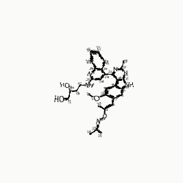 COc1cc2c(cc1/C=C(\C)ON=C(C)C)[nH]c1nc(C)nc(-c3cc(NCCC(O)CO)nc4ccccc34)c12